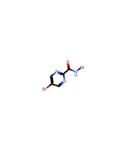 CCNC(=O)c1ncc(Br)cn1